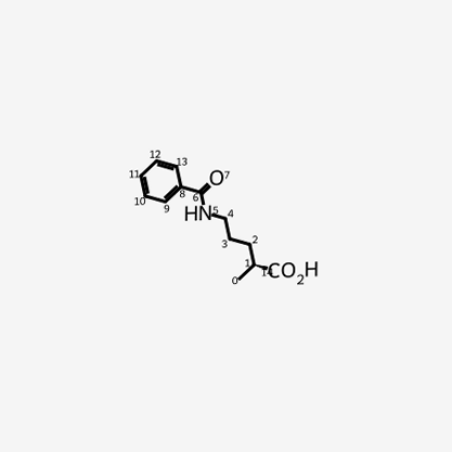 C[C@@H](CCCNC(=O)c1ccccc1)C(=O)O